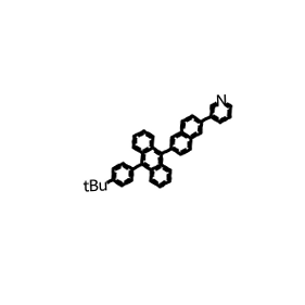 CC(C)(C)c1ccc(-c2c3ccccc3c(-c3ccc4cc(-c5cccnc5)ccc4c3)c3ccccc23)cc1